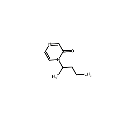 CCCC(C)n1ccncc1=O